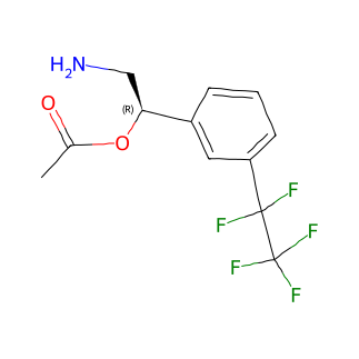 CC(=O)O[C@@H](CN)c1cccc(C(F)(F)C(F)(F)F)c1